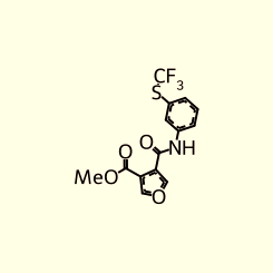 COC(=O)c1cocc1C(=O)Nc1cccc(SC(F)(F)F)c1